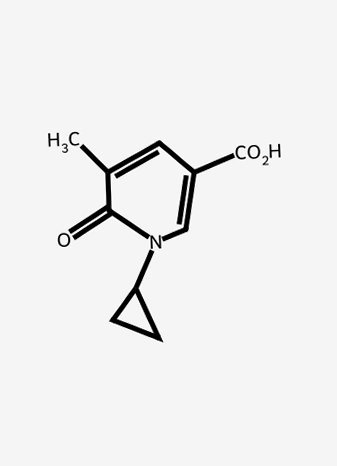 Cc1cc(C(=O)O)cn(C2CC2)c1=O